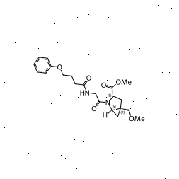 COC[C@@]12C[C@@H]1N(C(=O)CNC(=O)CCCOc1ccccc1)[C@H](C(=O)OC)C2